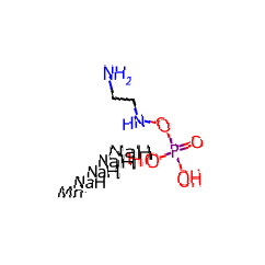 NCCNOP(=O)(O)O.[Mn].[NaH].[NaH].[NaH].[NaH]